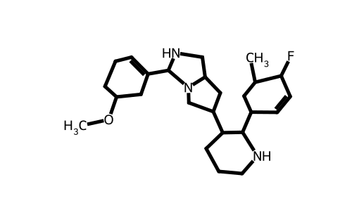 COC1CCC=C(C2NCC3CC(C4CCCNC4C4C=CC(F)C(C)C4)CN32)C1